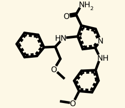 COCC(Nc1cc(Nc2ccc(OC)cc2)ncc1C(N)=O)c1ccccc1